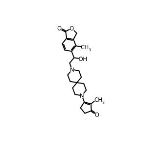 CC1=C(N2CCC3(CCN(CC(O)c4ccc5c(c4C)COC5=O)CC3)CC2)CCC1=O